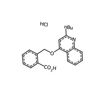 CCCCc1cc(OCc2ccccc2C(=O)O)c2ccccc2n1.Cl